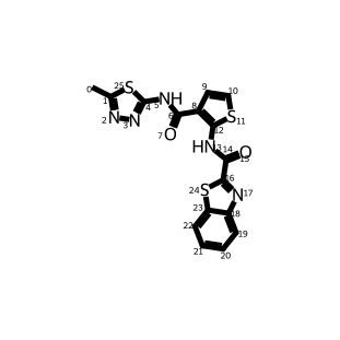 Cc1nnc(NC(=O)c2ccsc2NC(=O)c2nc3ccccc3s2)s1